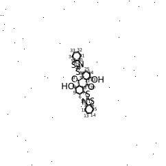 O=C1c2c(O)ccc(Sc3nc4ccccc4s3)c2C(=O)c2c(O)ccc(Sc3nc4ccccc4s3)c21